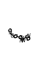 c1ccc2c(-c3nnc4cc(-c5ccc(OCCN6CCCCC6)cc5)ccn34)ccnc2c1